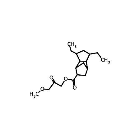 CCC1CC(CC)C2C3CC(CC3C(=O)OCC(=O)COC)C12